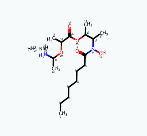 CCCCCCCC(=O)N(O)C(C)C(C)OC(=O)C(C)OC(C)N.[NaH].[NaH]